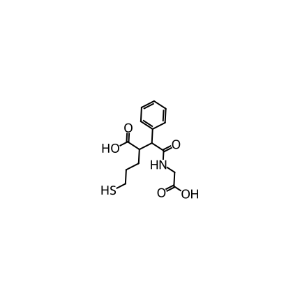 O=C(O)CNC(=O)C(c1ccccc1)C(CCCS)C(=O)O